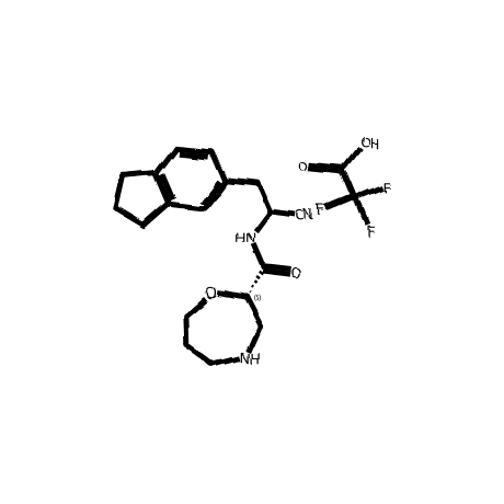 N#CC(Cc1ccc2c(c1)CCC2)NC(=O)[C@@H]1CNCCCO1.O=C(O)C(F)(F)F